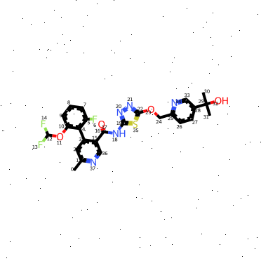 Cc1cc(-c2c(F)cccc2OC(F)F)c(C(=O)Nc2nnc(OCc3ccc(C(C)(C)O)cn3)s2)cn1